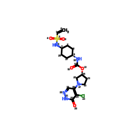 C=CS(=O)(=O)N[C@H]1CC[C@H](NC(=O)O[C@@H]2CCN(c3cn[nH]c(=O)c3Cl)C2)CC1